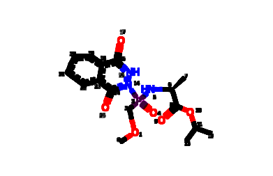 COCP(=O)(N[C@@H](C)C(=O)OC(C)C)n1[nH]c(=O)c2ccccc2c1=O